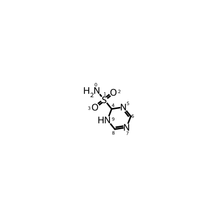 NS(=O)(=O)C1N=CN=CN1